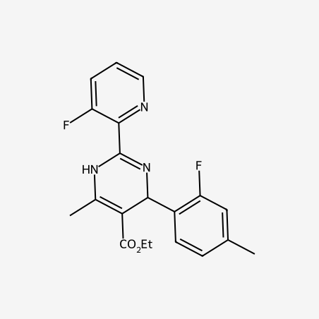 CCOC(=O)C1=C(C)NC(c2ncccc2F)=NC1c1ccc(C)cc1F